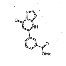 COC(=O)c1cccc(-c2cc(=O)n3nccc3[nH]2)c1